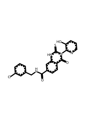 O=C(NCc1cccc(Cl)c1)c1ccc2c(=O)n(-c3ncccc3O)c(=S)[nH]c2c1